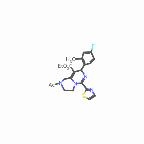 CCOC(=O)C1=C2CN(C(C)=O)CCN2C(c2nccs2)=NC1c1ccc(F)cc1C